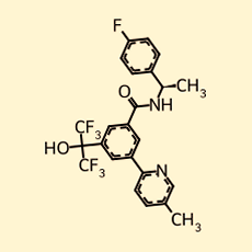 Cc1ccc(-c2cc(C(=O)N[C@H](C)c3ccc(F)cc3)cc(C(O)(C(F)(F)F)C(F)(F)F)c2)nc1